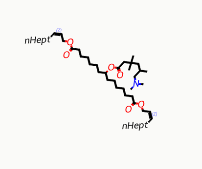 CCCCCCC/C=C\COC(=O)CCCCCCC(CCCCCCC(=O)OC/C=C\CCCCCCC)OC(=O)CC(C)(C)CC(C)CN(C)C